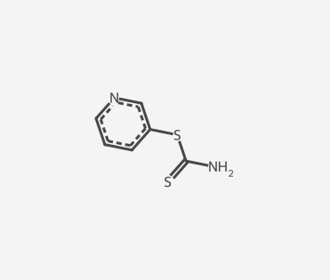 NC(=S)Sc1cccnc1